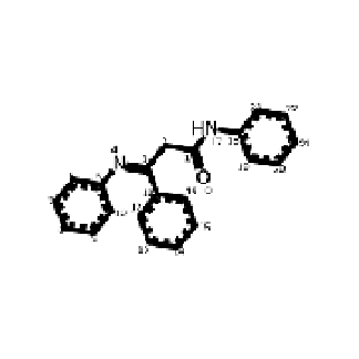 O=C(CC(=Nc1ccccc1)c1ccccc1)Nc1ccccc1